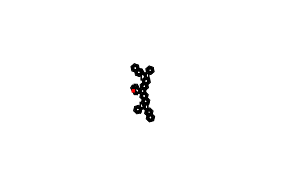 c1ccc(N(c2ccc3ccccc3c2)c2ccc3cc4c(cc3c2)C2(c3cc5cc(N(c6ccccc6)c6ccc7ccccc7c6)ccc5cc3-4)C3CC4CC(C3)CC2C4)cc1